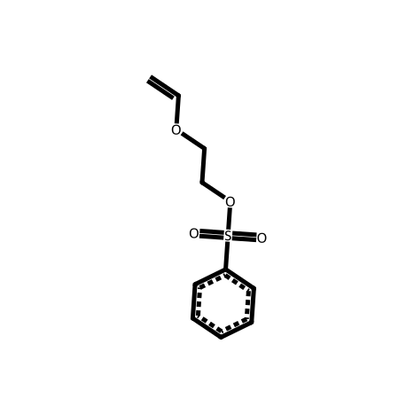 C=COCCOS(=O)(=O)c1ccccc1